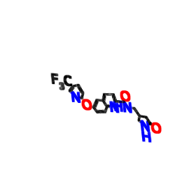 O=C1CC(CNC(=O)c2ccc3cc(Oc4ccc(C(F)(F)F)cn4)ccc3n2)CN1